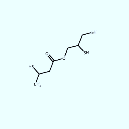 CC(S)CC(=O)OCC(S)CS